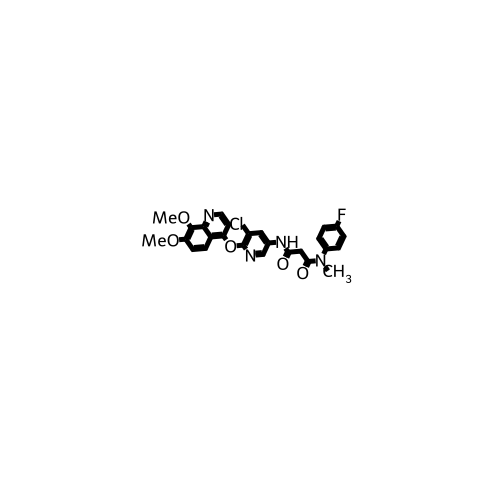 COc1ccc2c(Oc3ncc(NC(=O)CC(=O)N(C)c4ccc(F)cc4)cc3Cl)ccnc2c1OC